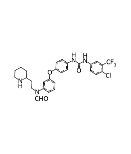 O=CN(CCC1CCCCN1)c1cccc(Oc2ccc(NC(=O)Nc3ccc(Cl)c(C(F)(F)F)c3)cc2)c1